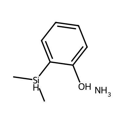 C[SiH](C)c1ccccc1O.N